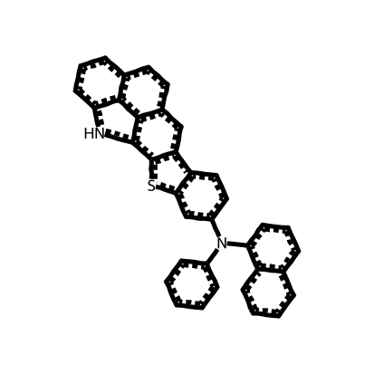 c1ccc(N(c2ccc3c(c2)sc2c3cc3ccc4cccc5[nH]c2c3c45)c2cccc3ccccc23)cc1